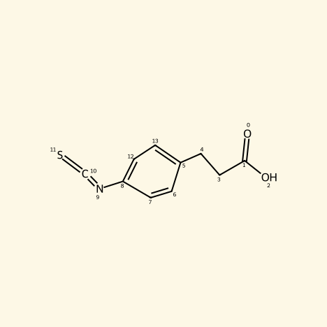 O=C(O)CCc1ccc(N=C=S)cc1